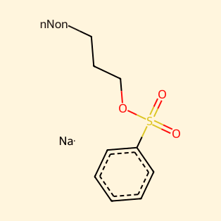 CCCCCCCCCCCCOS(=O)(=O)c1ccccc1.[Na]